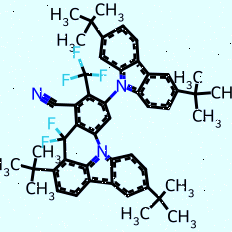 CC(C)(C)c1ccc2c(c1)c1ccc(C(C)(C)C)cc1n2-c1cc2c(c(C#N)c1C(F)(F)F)C(F)(F)c1c(C(C)(C)C)ccc3c4cc(C(C)(C)C)ccc4n-2c13